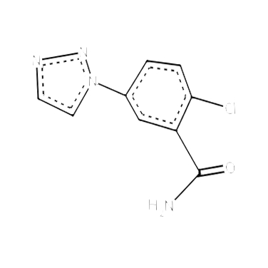 NC(=O)c1cc(-n2ccnn2)ccc1Cl